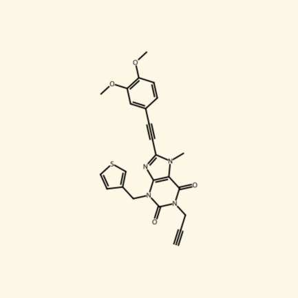 C#CCn1c(=O)c2c(nc(C#Cc3ccc(OC)c(OC)c3)n2C)n(Cc2ccsc2)c1=O